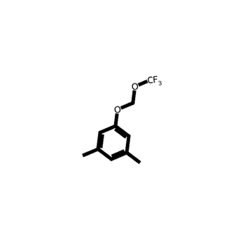 Cc1cc(C)cc(OCOC(F)(F)F)c1